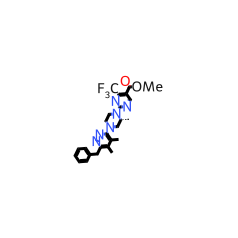 COC(=O)c1cnc(N2CCN(c3nnc(Cc4ccccc4)c(C)c3C)C[C@H]2C)nc1C(F)(F)F